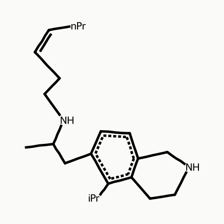 CCC/C=C\CCNC(C)Cc1ccc2c(c1C(C)C)CCNC2